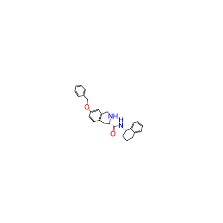 O=C(N[C@H]1CCCc2ccccc21)[C@@H]1Cc2ccc(OCc3ccccc3)cc2CN1